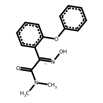 CN(C)C(=O)/C(=N/O)c1ccccc1Oc1ccccc1